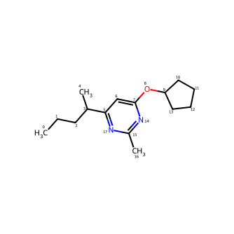 CCCC(C)c1cc(OC2CCCC2)nc(C)n1